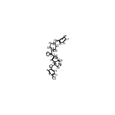 O=C(c1cc2c(Oc3ccc(Cl)cc3)cncc2s1)N1CCN(Cc2ccccc2)CC1